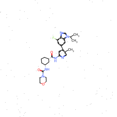 Cc1cnc(NC(=O)[C@H]2CCC[C@@H](NC(=O)N3CCOCC3)C2)cc1-c1cc(F)c2ncn(C(C)C)c2c1